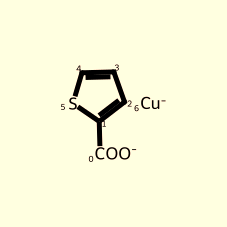 O=C([O-])c1cccs1.[Cu-]